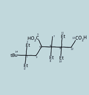 CCC(CC)(CC(C(=O)O)C(C)(CC)C(CC)(CC)CC(=O)O)C(C)(C)C